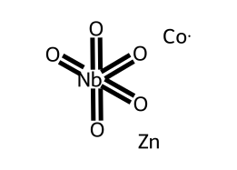 [Co].[O]=[Nb](=[O])(=[O])(=[O])=[O].[Zn]